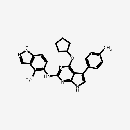 Cc1ccc(-c2c[nH]c3nc(Nc4ccc5[nH]ncc5c4C)nc(OC4CCCC4)c23)cc1